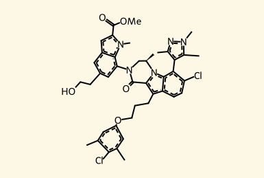 COC(=O)c1cc2cc(CCO)cc(N3C[C@@H](C)n4c(c(CCCOc5cc(C)c(Cl)c(C)c5)c5ccc(Cl)c(-c6c(C)nn(C)c6C)c54)C3=O)c2n1C